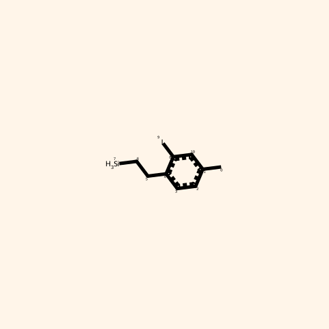 Cc1ccc(CC[SiH3])c(I)c1